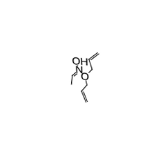 C=CCOCC=C.CC=NO